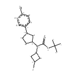 CC(C)(C)OC(=O)N(C1CC(F)C1)C1CCN(c2ccc(Cl)nn2)C1